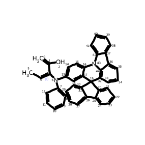 C=C(O)/C(=C\C)N(c1ccccc1)c1ccc2c(c1)C1(c3ccccc3-c3ccccc31)c1cccc3c4ccccc4n-2c13